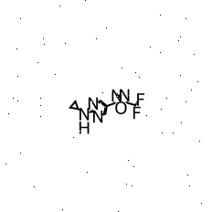 FC(F)c1nnc(-c2cnc(NC3CC3)nc2)o1